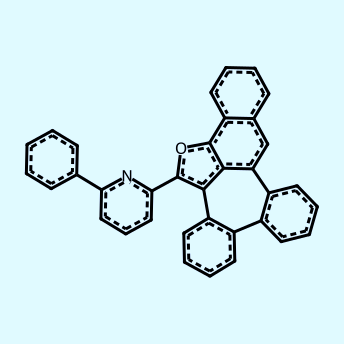 c1ccc(-c2cccc(-c3oc4c5c(cc6ccccc64)-c4ccccc4-c4ccccc4-c35)n2)cc1